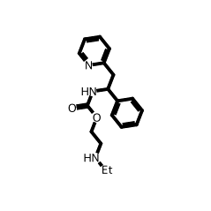 CCNCCOC(=O)NC(Cc1ccccn1)c1ccccc1